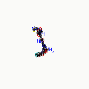 Cc1ncsc1-c1ccc(CNC(=O)[C@@H]2CCCN2C(=O)[C@@H](NC(=O)CCCCCCC(=O)NCCCCn2cnc(-c3cnc(OC4CCN(C(=O)Cc5ccc(OC(F)(F)F)cc5)CC4)c(C(N)=O)c3)c2)C(C)(C)C)cc1